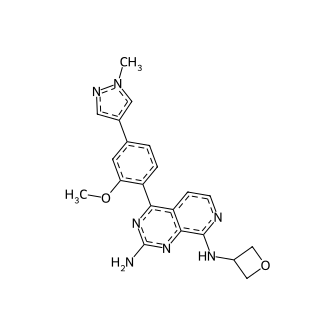 COc1cc(-c2cnn(C)c2)ccc1-c1nc(N)nc2c(NC3COC3)nccc12